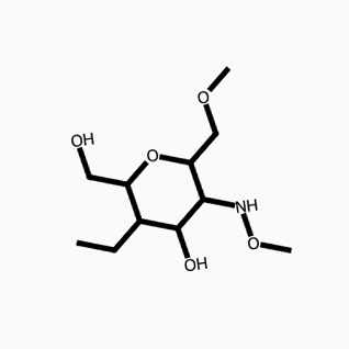 CCC1C(CO)OC(COC)C(NOC)C1O